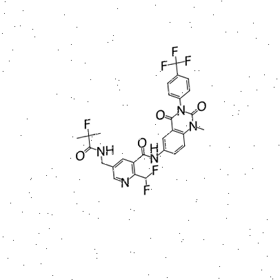 Cn1c(=O)n(-c2ccc(C(F)(F)F)cc2)c(=O)c2cc(NC(=O)c3cc(CNC(=O)C(C)(C)F)cnc3C(F)F)ccc21